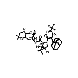 CC1(C)CNC(=O)C(C[C@@H](C#N)NC(=O)[C@@H]2[C@@H]3[C@H](CN2C(=O)C(NC(=O)C(F)(F)F)C24CC5CC(CC(C5)C2)C4)C3(C)C)O1